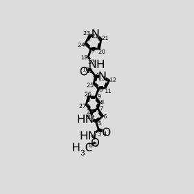 CONC(=O)c1cc2cc(-c3ccnc(C(=O)NCc4ccncc4)c3)ccc2[nH]1